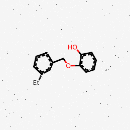 CCc1cccc(COc2ccccc2O)c1